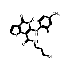 Cc1ccc(Nc2c(C(=O)NCCCO)c3occc3c(=O)n2C)c(F)c1